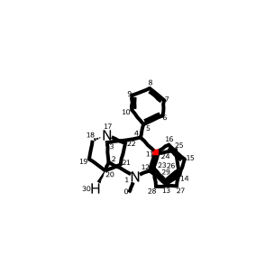 CN(C1C(C(c2ccccc2)c2ccccc2)[N@]2CC[C@H]1CC2)C12CCC(CC1)C2